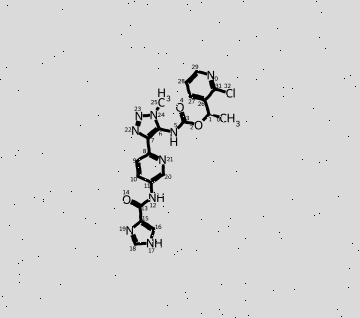 C[C@@H](OC(=O)Nc1c(-c2ccc(NC(=O)c3c[nH]cn3)cn2)nnn1C)c1cccnc1Cl